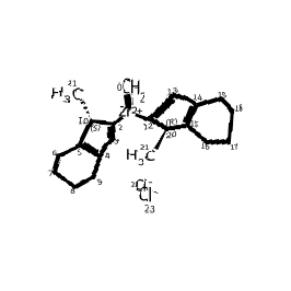 [CH2]=[Zr+2]([C]1=CC2=C(CCCC2)[C@@H]1C)[C]1=CC2=C(CCCC2)[C@H]1C.[Cl-].[Cl-]